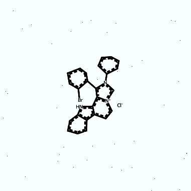 Brc1ccccc1-c1c2c3[nH]c4ccccc4c3cc[n+]2cn1-c1ccccc1.[Cl-]